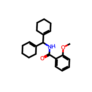 COc1ccccc1C(=O)NC(C1=CCCCC1)C1=CCCCC1